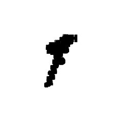 CCCCCCCCCC(=O)OCn1c(=O)c(C2CCNCC2)cc2ccccc21